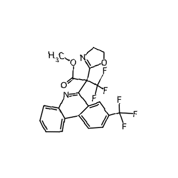 COC(=O)C(C1=NCCO1)(c1nc2ccccc2c2ccc(C(F)(F)F)cc12)C(F)(F)F